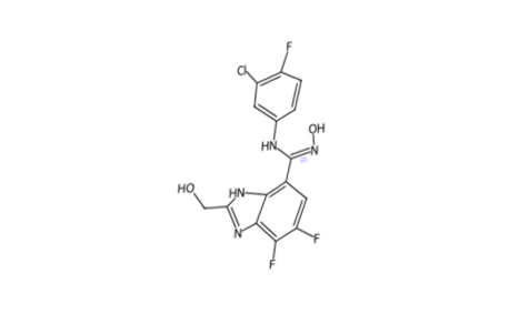 OCc1nc2c(F)c(F)cc(/C(=N/O)Nc3ccc(F)c(Cl)c3)c2[nH]1